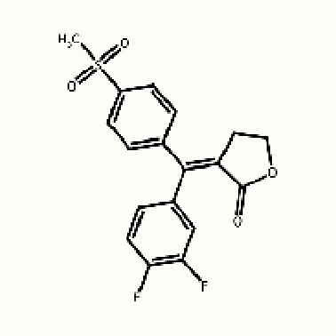 CS(=O)(=O)c1ccc(C(=C2CCOC2=O)c2ccc(F)c(F)c2)cc1